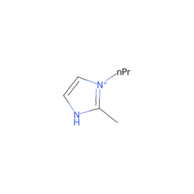 CCC[n+]1cc[nH]c1C